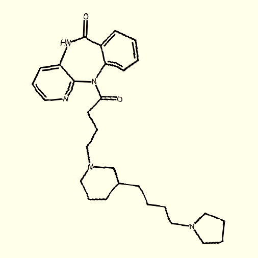 O=C1Nc2cccnc2N(C(=O)CCCN2CCCC(CCCCN3CCCC3)C2)c2ccccc21